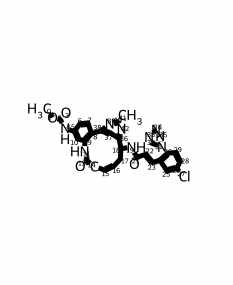 COC(=O)Nc1ccc2c(c1)NC(=O)CC=CCC(NC(=O)C=Cc1cc(Cl)ccc1-n1cnnn1)c1cc-2nc(C)n1